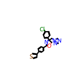 Clc1ccc(C2(Cn3cncn3)COC(c3ccc(-c4ccsc4)cc3)=N2)cc1